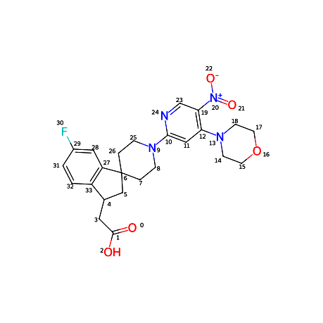 O=C(O)CC1CC2(CCN(c3cc(N4CCOCC4)c([N+](=O)[O-])cn3)CC2)c2cc(F)ccc21